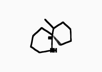 CC1CCCC[C@]12CCCCN2